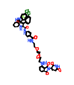 O=C1CCC(N2C(=O)c3cccc(NCCOCCOCCNC(=O)c4ccc(NC(=O)[C@@H]5NC6(CCCCC6)[C@@]6(C(=O)Nc7cc(Cl)ccc76)[C@H]5c5cccc(Cl)c5F)cc4)c3C2=O)C(=O)N1